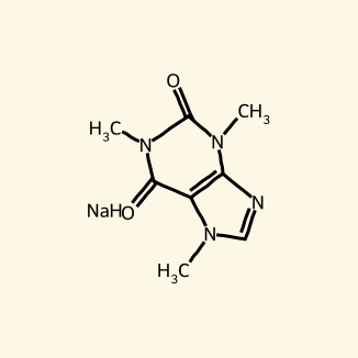 Cn1c(=O)c2c(ncn2C)n(C)c1=O.[NaH]